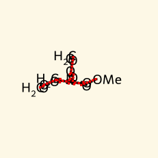 C=CC(=O)OCCCCCCOC(=C)c1ccc(C#Cc2ccc3c(c2)nc(Oc2ccc(OCCCCCCOC(=O)C=C)cc2)c2cc(C#Cc4ccc(C(=O)OCCCCCCOC)cc4)ccc23)cc1